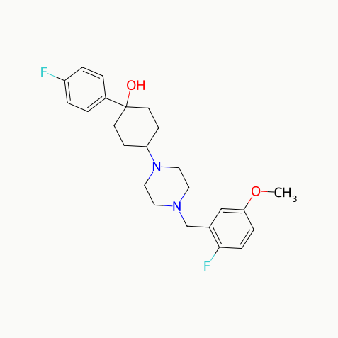 COc1ccc(F)c(CN2CCN(C3CCC(O)(c4ccc(F)cc4)CC3)CC2)c1